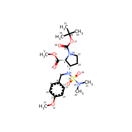 COC(=O)[C@H]1[C@@H](N(Cc2ccc(OC)cc2)S(=O)(=O)N(C)C)CCN1C(=O)OC(C)(C)C